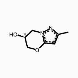 Cc1cc2n(n1)C[C@H](O)CO2